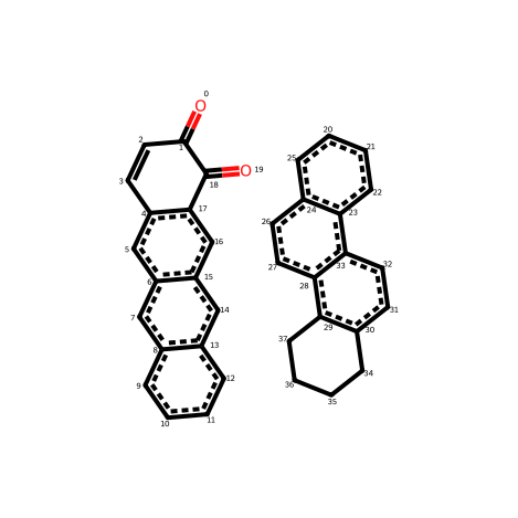 O=C1C=Cc2cc3cc4ccccc4cc3cc2C1=O.c1ccc2c(c1)ccc1c3c(ccc12)CCCC3